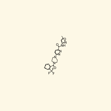 Cc1cc(NC(=O)c2ccc(N3CCN(C(=O)c4ccccc4C(F)(F)F)CC3)nn2)no1